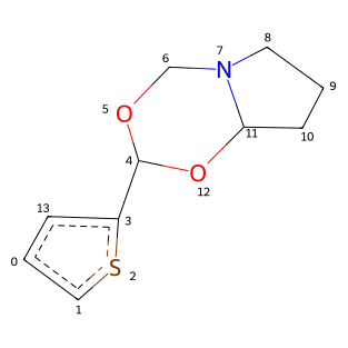 c1csc(C2OCN3CCCC3O2)c1